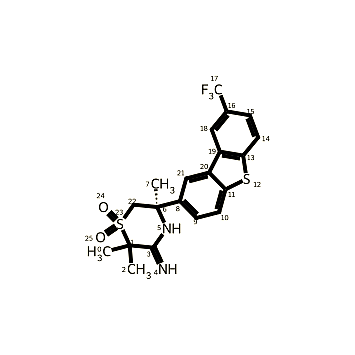 CC1(C)C(=N)N[C@](C)(c2ccc3sc4ccc(C(F)(F)F)cc4c3c2)CS1(=O)=O